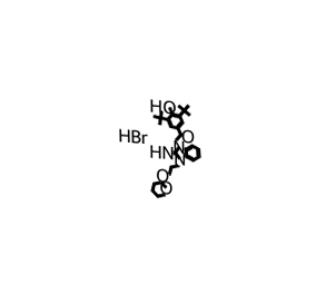 Br.CC(C)(C)c1cc(C(=O)Cn2c(=N)n(CCCOC3CCCCO3)c3ccccc32)cc(C(C)(C)C)c1O